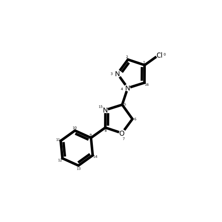 Clc1cnn(C2COC(c3ccccc3)=N2)c1